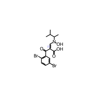 CC(C)C(C)N(O)/C=C(\C(=O)O)C(=O)c1cc(Br)ccc1Br